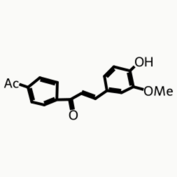 COc1cc(C=CC(=O)c2ccc(C(C)=O)cc2)ccc1O